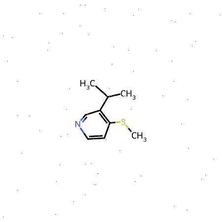 CSc1ccncc1C(C)C